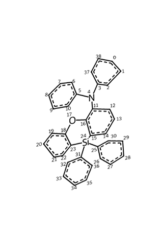 c1ccc(N(c2ccccc2)c2cccc3c2Oc2ccccc2[Si]3(c2ccccc2)c2ccccc2)cc1